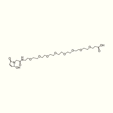 O=C(O)CCOCCOCCOCCOCCOCCOCCOCCOCCNC(=O)CN1C(=O)C=CC1O